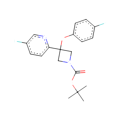 CC(C)(C)OC(=O)N1CC(Oc2ccc(F)cc2)(c2ccc(F)cn2)C1